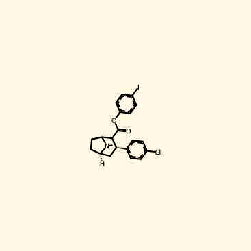 CN1C2CC[C@@H]1C[C@H](c1ccc(Cl)cc1)C2C(=O)Oc1ccc(I)cc1